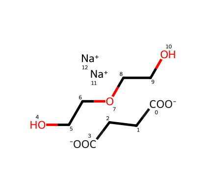 O=C([O-])CCC(=O)[O-].OCCOCCO.[Na+].[Na+]